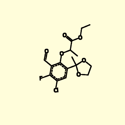 CCOC(=O)C(C)Oc1c(C2(C)OCCO2)cc(Cl)c(F)c1C=O